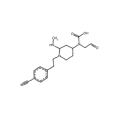 CNC1CC(N(CC=O)C(=O)O)CCN1CCc1ccc(C#N)cc1